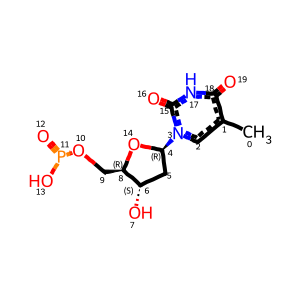 Cc1cn([C@H]2C[C@H](O)[C@@H](CO[P+](=O)O)O2)c(=O)[nH]c1=O